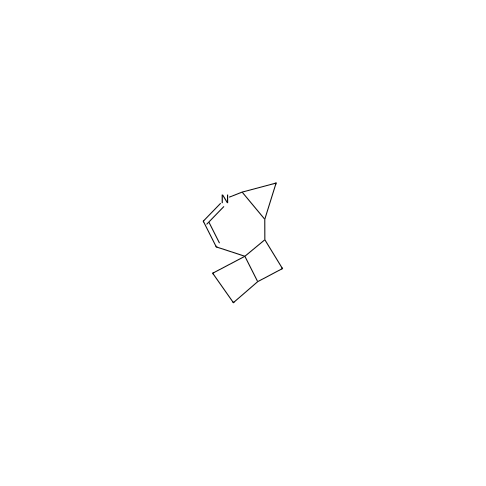 C1=CC23CCC2CC3C2CC2N=1